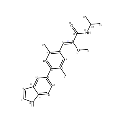 CO/C(=C\c1cc(C)c(-c2ccc3[nH]ccc3c2)cc1C)C(=O)NC(C)C